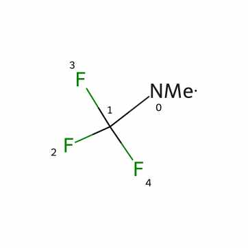 C[N]C(F)(F)F